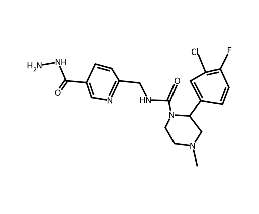 CN1CCN(C(=O)NCc2ccc(C(=O)NN)cn2)C(c2ccc(F)c(Cl)c2)C1